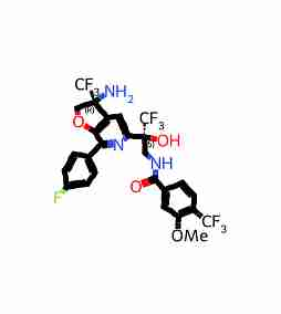 COc1cc(C(=O)NC[C@](O)(c2cc3c(c(-c4ccc(F)cc4)n2)OC[C@@]3(N)C(F)(F)F)C(F)(F)F)ccc1C(F)(F)F